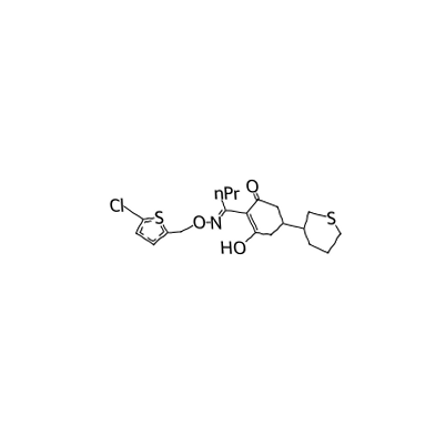 CCCC(=NOCc1ccc(Cl)s1)C1=C(O)CC(C2CCCSC2)CC1=O